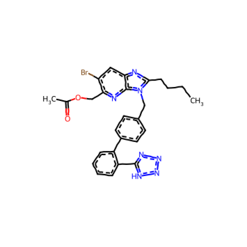 CCCCc1nc2cc(Br)c(COC(C)=O)nc2n1Cc1ccc(-c2ccccc2-c2nnn[nH]2)cc1